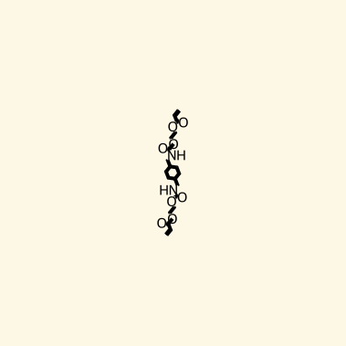 C=CC(=O)OCCOC(=O)NCC1CCC(CNC(=O)OCCOC(=O)C=C)CC1